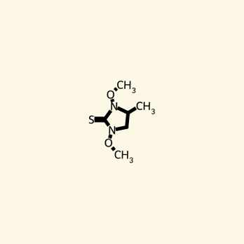 CON1CC(C)N(OC)C1=S